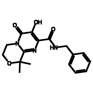 CC1(C)OCCn2c1nc(C(=O)NCc1ccccc1)c(O)c2=O